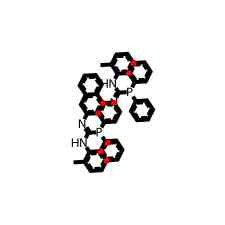 Cc1cccc(C)c1N/C(=N/c1cc(/N=C(\Nc2c(C)cccc2C)P(c2ccccc2)c2ccccc2)c2ccccc2c1)P(c1ccccc1)c1ccccc1